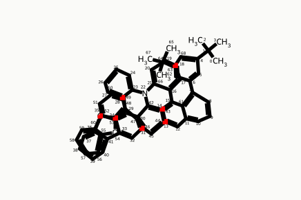 CC(C)(C)c1cc(-c2cccc3cccc(-c4ccccc4N(c4ccccc4-c4cccc5c4oc4ccccc45)c4ccccc4-c4cccc5c4oc4ccccc45)c23)cc(C(C)(C)C)c1